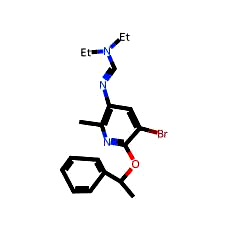 CCN(C=Nc1cc(Br)c(OC(C)c2ccccc2)nc1C)CC